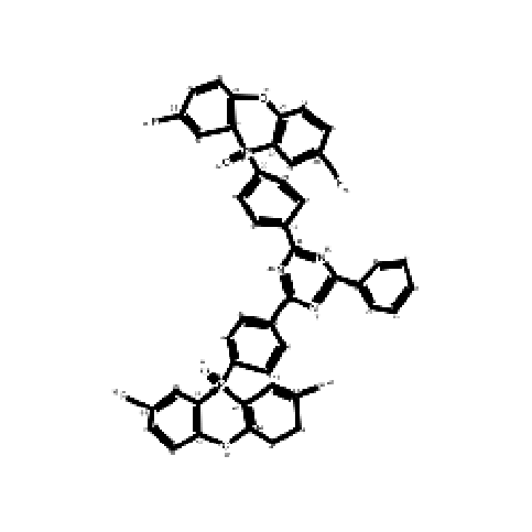 O=P1(c2ccc(-c3nc(-c4ccccc4)nc(-c4ccc(P5(=O)c6cc(F)ccc6Oc6ccc(F)cc65)cc4)n3)cc2)C2=C(CCC(F)=C2)Oc2ccc(F)cc21